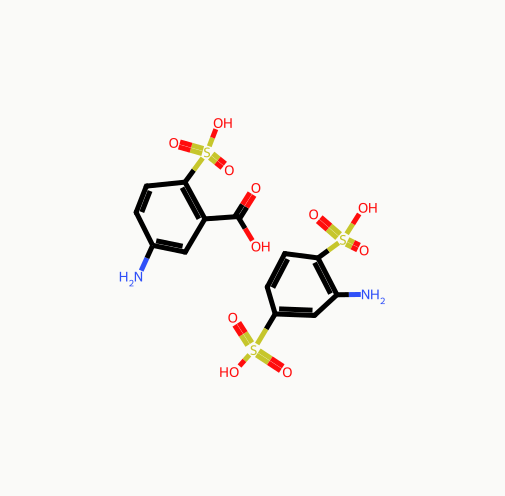 Nc1cc(S(=O)(=O)O)ccc1S(=O)(=O)O.Nc1ccc(S(=O)(=O)O)c(C(=O)O)c1